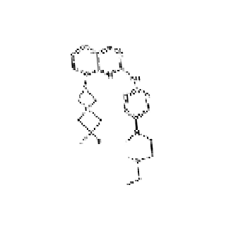 CCN1CCN(c2ccc(Nc3ncc4cccc(N5CC6(C5)CC(F)(F)C6)c4n3)nc2)CC1